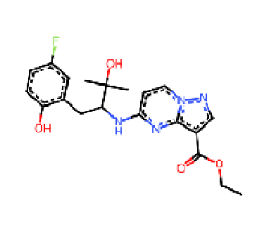 CCOC(=O)c1cnn2ccc(NC(Cc3cc(F)ccc3O)C(C)(C)O)nc12